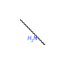 C=CC=CCCCCCC(N)CCCCCCCCCCCCCCCCCCC